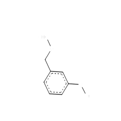 CCOc1cccc(COC=O)c1